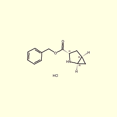 Cl.O=C(OCc1ccccc1)[C@@H]1C[C@H]2C[C@H]2N1